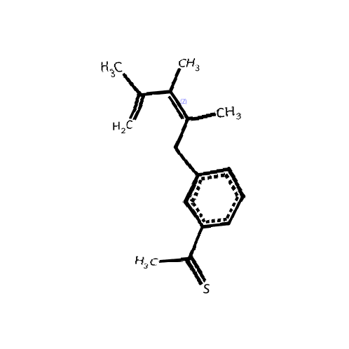 C=C(C)/C(C)=C(/C)Cc1cccc(C(C)=S)c1